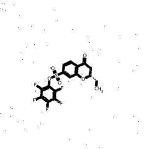 CC[C@H]1CC(=O)c2ccc(S(=O)(=O)Oc3c(F)c(F)c(F)c(F)c3F)cc2O1